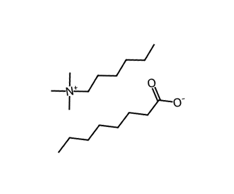 CCCCCCCC(=O)[O-].CCCCCC[N+](C)(C)C